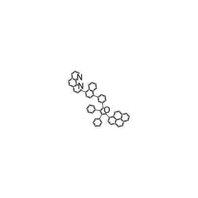 c1ccc(-c2c(-c3cccc(-c4ccc(-c5ccc6ccc7cccnc7c6n5)c5ccccc45)c3)oc(-c3ccc4ccc5cccc6ccc3c4c56)c2-c2ccccc2)cc1